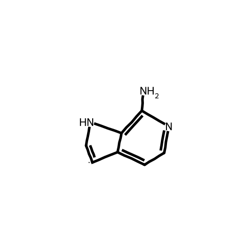 Nc1nccc2[c]c[nH]c12